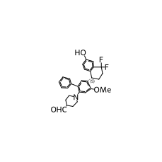 COc1cc(N2CCC(C=O)CC2)c(-c2ccccc2)cc1[C@H]1CCC(F)(F)c2cc(O)ccc21